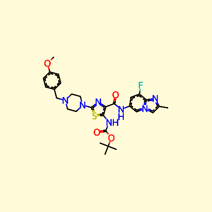 COc1ccc(CN2CCN(c3nc(C(=O)Nc4cc(F)c5nc(C)cn5c4)c(NC(=O)OC(C)(C)C)s3)CC2)cc1